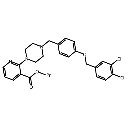 CC(C)OC(=O)c1cccnc1N1CCN(Cc2ccc(OCc3ccc(Cl)c(Cl)c3)cc2)CC1